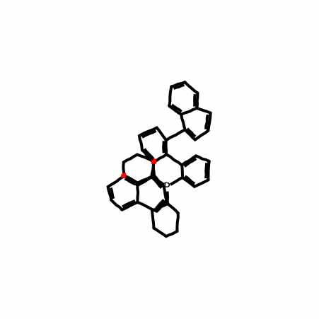 c1ccc(P(C2CCCCC2)C2CCCCC2)c(-c2c(-c3cccc4ccccc34)cccc2-c2cccc3ccccc23)c1